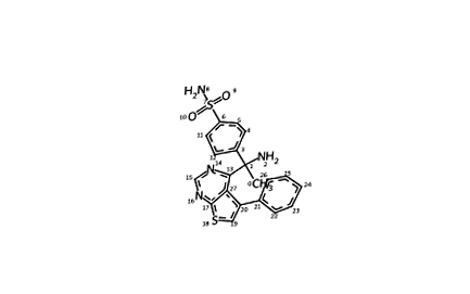 CC(N)(c1ccc(S(N)(=O)=O)cc1)c1ncnc2scc(-c3ccccc3)c12